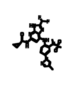 Cc1cnn(-c2ccc(Nc3cc(NC(=O)C4CC4)nc4[nH]c(C(F)F)nc34)c(N(C)S(C)(=O)=O)c2)c1